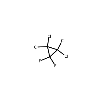 FC1(F)C(Cl)(Cl)C1(Cl)Cl